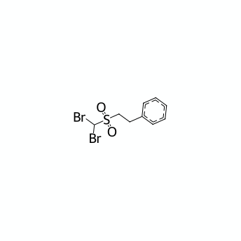 O=S(=O)(CCc1ccccc1)C(Br)Br